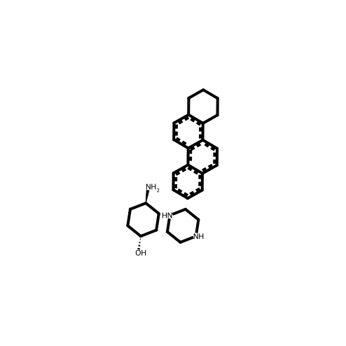 C1CNCCN1.N[C@H]1CC[C@H](O)CC1.c1ccc2c(c1)ccc1c3c(ccc12)CCCC3